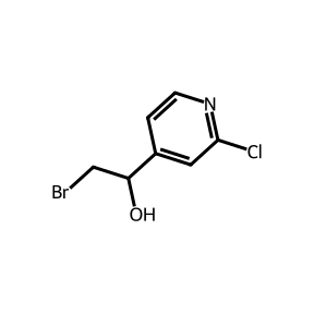 OC(CBr)c1ccnc(Cl)c1